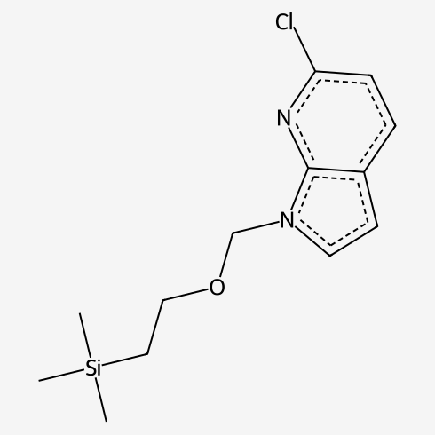 C[Si](C)(C)CCOCn1ccc2ccc(Cl)nc21